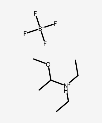 CC[NH+](CC)C(C)OC.F[B-](F)(F)F